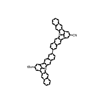 CC(C)(C)c1cc2c3cc4ccccc4cc3n3c4cc5ccc(-c6ccc7cc8c(cc7c6)c6cc(C#N)cc7c9cc%10ccccc%10cc9n8c76)cc5cc4c(c1)c23